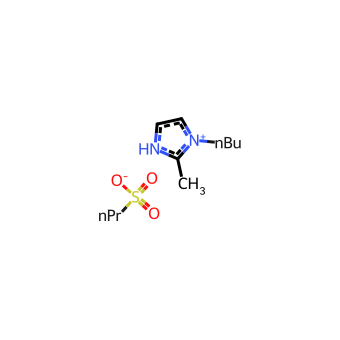 CCCC[n+]1cc[nH]c1C.CCCS(=O)(=O)[O-]